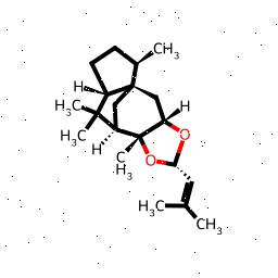 CC(C)=C[C@H]1O[C@H]2C[C@@]34C[C@H](C(C)(C)[C@@H]3CC[C@H]4C)[C@@]2(C)O1